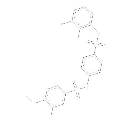 COc1ccc(S(=O)(=O)Nc2ccc(S(=O)(=O)Nc3cccc(Cl)c3C)cc2)cc1Cl